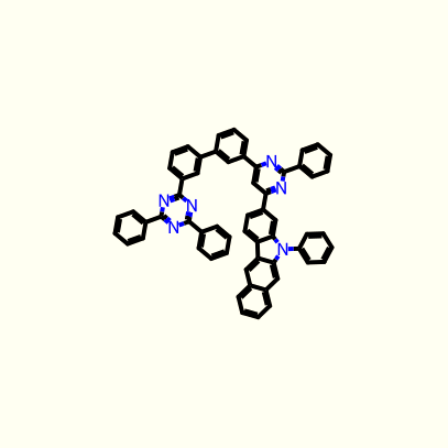 c1ccc(-c2nc(-c3cccc(-c4cccc(-c5nc(-c6ccccc6)nc(-c6ccccc6)n5)c4)c3)cc(-c3ccc4c5cc6ccccc6cc5n(-c5ccccc5)c4c3)n2)cc1